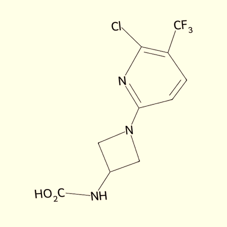 O=C(O)NC1CN(c2ccc(C(F)(F)F)c(Cl)n2)C1